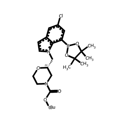 CC(C)(C)OC(=O)N1CCO[C@H](Cn2ccc3cc(Cl)cc(B4OC(C)(C)C(C)(C)O4)c32)C1